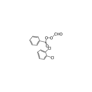 Clc1ccccc1Cl.O=COOC(=O)c1ccccc1